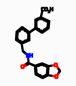 O=C(O)c1cccc(-c2cccc(CNC(=O)c3ccc4c(c3)OCO4)c2)c1